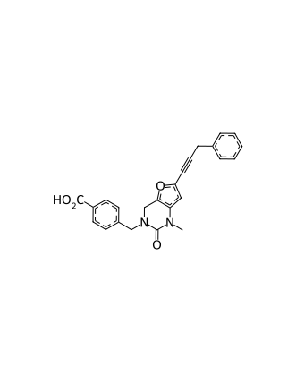 CN1C(=O)N(Cc2ccc(C(=O)O)cc2)Cc2oc(C#CCc3ccccc3)cc21